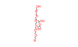 CC(O)COC(C)CO.COCCOCCOCCOCCOCCOCCOCCO